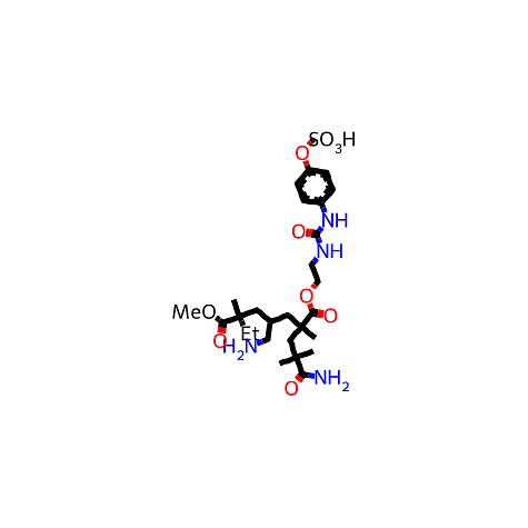 CCC(C)(CC(CN)CC(C)(CC(C)(C)C(N)=O)C(=O)OCCNC(=O)Nc1ccc(OS(=O)(=O)O)cc1)C(=O)OC